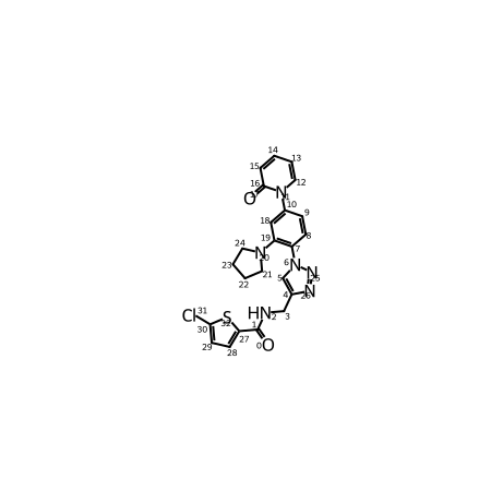 O=C(NCc1cn(-c2ccc(-n3ccccc3=O)cc2N2CCCC2)nn1)c1ccc(Cl)s1